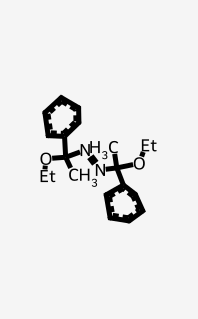 CCOC(C)(N=NC(C)(OCC)c1ccccc1)c1ccccc1